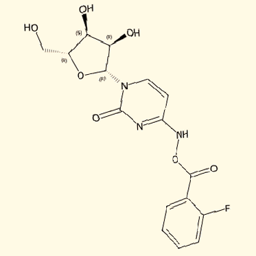 O=C(ONc1ccn([C@@H]2O[C@H](CO)[C@@H](O)[C@H]2O)c(=O)n1)c1ccccc1F